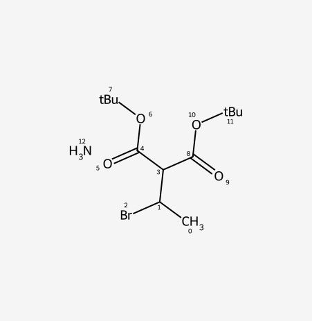 CC(Br)C(C(=O)OC(C)(C)C)C(=O)OC(C)(C)C.N